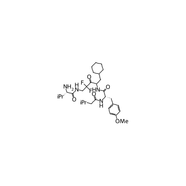 COc1ccc(C[C@H](NC(=O)CC(C)C)C(=O)NC(CC2CCCCC2)C(=O)C(F)(F)CNC(=O)[C@@H](N)C(C)C)cc1